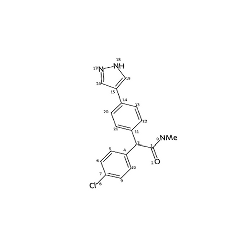 CNC(=O)C(c1ccc(Cl)cc1)c1ccc(-c2cn[nH]c2)cc1